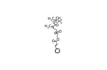 CN(CCS(=O)(=O)CCOC(=O)/C=C/c1ccccc1)C(=O)OC(C)(C)C